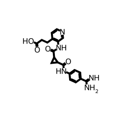 N=C(N)c1ccc(NC(=O)C2CC2C(=O)Nc2cnccc2CCC(=O)O)cc1